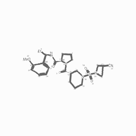 CCC(NC(=O)[C@H]1CCCN1C(=O)[C@H]1CCCN(S(=O)(=O)N2CC(C#N)C2)C1)c1ccccc1OC